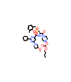 CCCCOC(=O)ON1CCN(C(=O)[C@H](CP2(=O)OCc3cccc(C)c3O2)NC(=O)c2cc(N3CC[C@H](OC)C3)nc(-c3ccccc3)n2)CC1